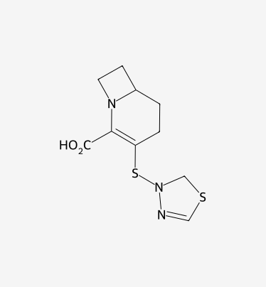 O=C(O)C1=C(SN2CSC=N2)CCC2CCN12